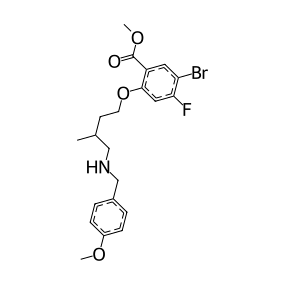 COC(=O)c1cc(Br)c(F)cc1OCCC(C)CNCc1ccc(OC)cc1